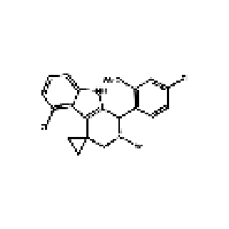 COc1cc(Cl)ccc1C1c2[nH]c3cccc(Cl)c3c2C2(CC2)CN1C(C)=O